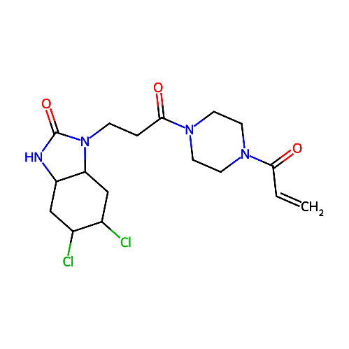 C=CC(=O)N1CCN(C(=O)CCN2C(=O)NC3CC(Cl)C(Cl)CC32)CC1